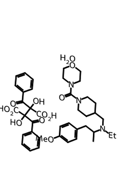 CCN(CC1CCN(C(=O)N2CCOCC2)CC1)C(C)Cc1ccc(OC)cc1.O.O=C(O)C(O)(C(=O)c1ccccc1)C(O)(C(=O)O)C(=O)c1ccccc1